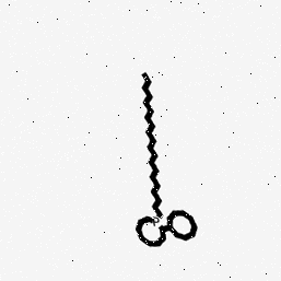 CCCCCCCCCCCCCCCCCCCCP1CCCCCCCC1C1CCCCCCCC1